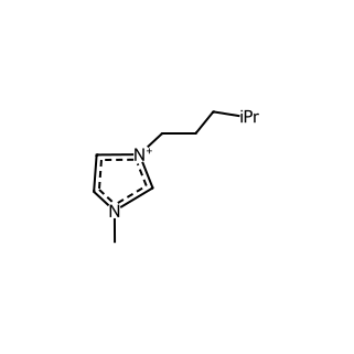 CC(C)CCC[n+]1ccn(C)c1